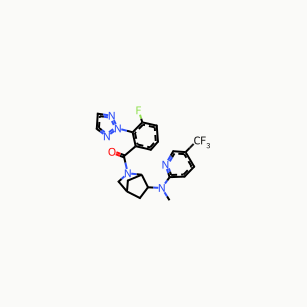 CN(c1ccc(C(F)(F)F)cn1)C1CC2CC1N(C(=O)c1cccc(F)c1-n1nccn1)C2